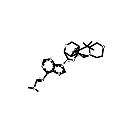 CN(C)/C=N/c1ncnc2c1ncn2[C@@H]1O[C@]2(CN3CCOCC3)C3O[Si](C)(C(C)(C)C)C2COC31